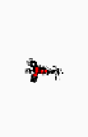 CCNC(=O)COCC(=O)NCCc1nnc(C(C)C)n1C1CC2CCC(C1)N2CC[C@@H](NC(=O)C1CCC(F)(F)CC1)c1ccccc1